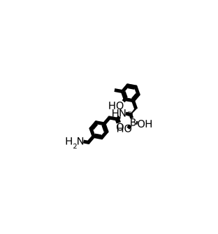 Cc1cccc(C[C@H](NC(=O)Cc2ccc(CN)cc2)B(O)O)c1O